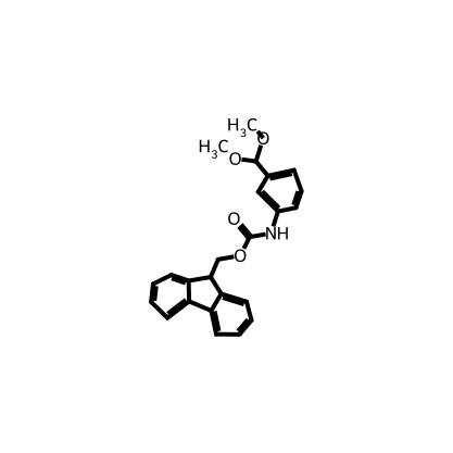 COC(OC)c1cccc(NC(=O)OCC2c3ccccc3-c3ccccc32)c1